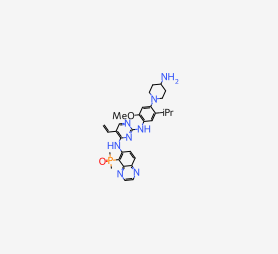 C=Cc1cnc(Nc2cc(C(C)C)c(N3CCC(N)CC3)cc2OC)nc1Nc1ccc2nccnc2c1P(C)(C)=O